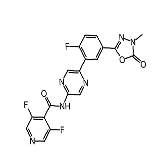 Cn1nc(-c2ccc(F)c(-c3cnc(NC(=O)c4c(F)cncc4F)cn3)c2)oc1=O